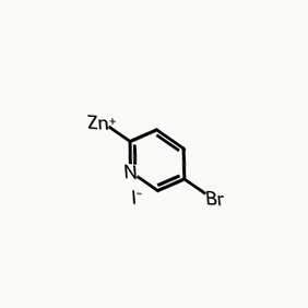 [I-].[Zn+][c]1ccc(Br)cn1